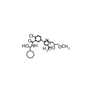 COCC(O)Cn1nc(-c2ccc(Cl)c(C(=O)NC(O)C3CCCCCC3)c2)cc1C